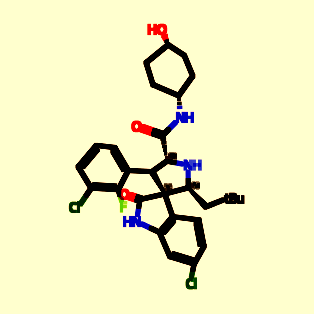 CC(C)(C)C[C@@H]1N[C@@H](C(=O)N[C@H]2CC[C@H](O)CC2)C(c2cccc(Cl)c2F)[C@@]12C(=O)Nc1cc(Cl)ccc12